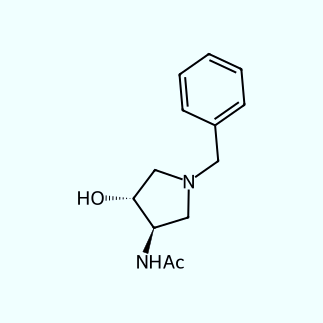 CC(=O)N[C@@H]1CN(Cc2ccccc2)C[C@H]1O